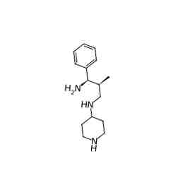 C[C@@H](CNC1CCNCC1)[C@@H](N)c1ccccc1